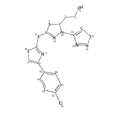 OCCC1SC(Sc2nc(-c3ccc(Cl)cc3)cs2)=NN1c1csnn1